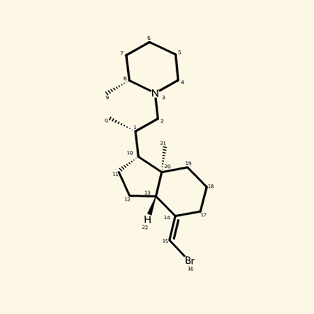 C[C@H](CN1CCCC[C@H]1C)[C@H]1CC[C@H]2/C(=C/Br)CCC[C@]12C